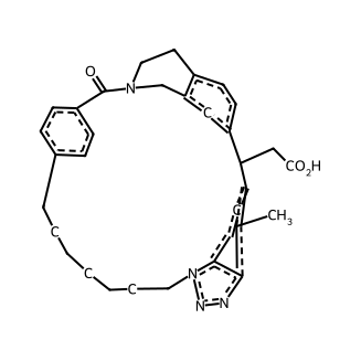 Cc1c2ccc3c1nnn3CCCCCCCc1ccc(cc1)C(=O)N1CCc3ccc(cc3C1)C2CC(=O)O